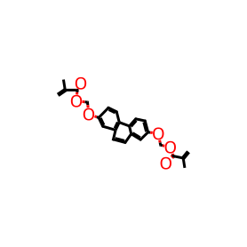 C=C(C)C(=O)OCOc1ccc2c(ccc3cc(OCOC(=O)C(=C)C)ccc32)c1